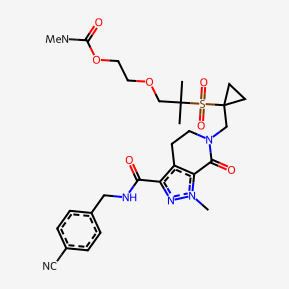 CNC(=O)OCCOCC(C)(C)S(=O)(=O)C1(CN2CCc3c(C(=O)NCc4ccc(C#N)cc4)nn(C)c3C2=O)CC1